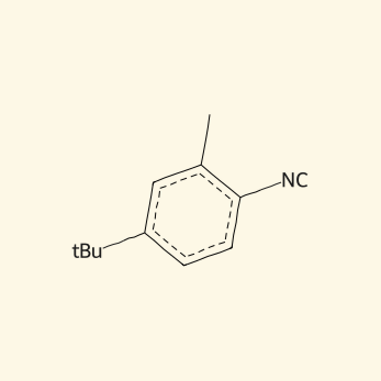 [C-]#[N+]c1ccc(C(C)(C)C)cc1C